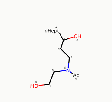 [CH2]CCCCCCC(O)CCN(CCO)C(C)=O